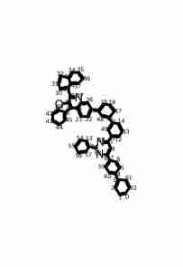 c1ccc(-c2ccc(-c3cc(-c4cccc(-c5cccc(-c6ccc7c(c6)nc(-c6cccc8ccccc68)c6oc8ccccc8c67)c5)c4)nc(-c4ccccc4)n3)cc2)cc1